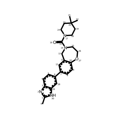 Cc1nc2ccc(-c3ccc4c(c3)CN(C(=O)N3CCC(C)(C)CC3)CCO4)cc2[nH]1